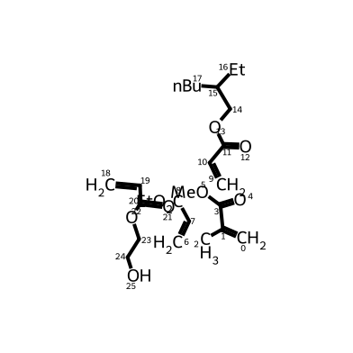 C=C(C)C(=O)OC.C=CC(=O)OCC.C=CC(=O)OCC(CC)CCCC.C=CC(=O)OCCO